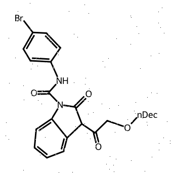 CCCCCCCCCCOCC(=O)C1C(=O)N(C(=O)Nc2ccc(Br)cc2)c2ccccc21